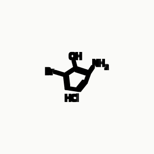 Cl.Nc1cccc(Br)c1O